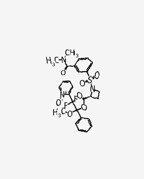 COC(OC(=O)[C@@H]1CCN1S(=O)(=O)c1cccc(C(=O)N(C)C)c1)(c1ccccc1)C(F)(F)c1cccc[n+]1[O-]